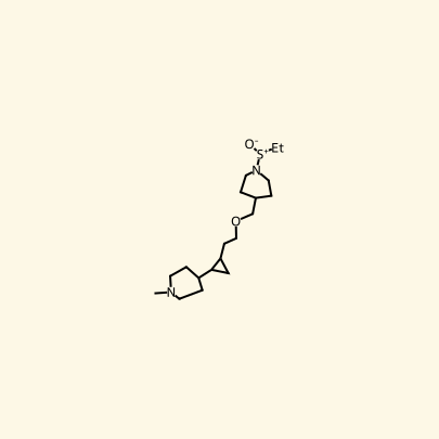 CC[S+]([O-])N1CCC(COCCC2CC2C2CCN(C)CC2)CC1